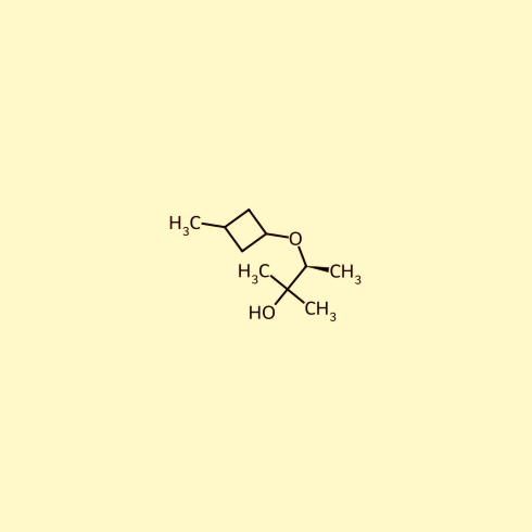 CC1CC(O[C@@H](C)C(C)(C)O)C1